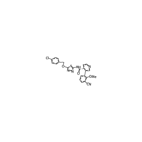 COc1c(C#N)cccc1-c1cnccc1C(=O)Nc1nnc(OCc2ccc(Cl)cc2)s1